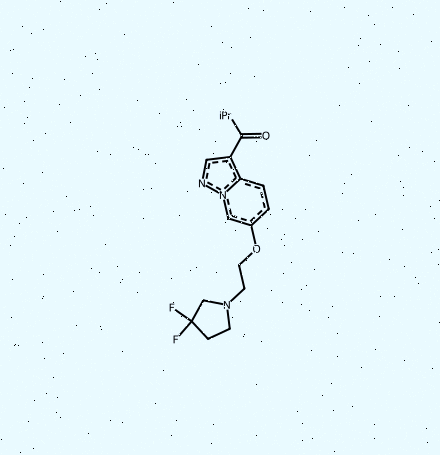 CC(C)C(=O)c1cnn2cc(OCCN3CCC(F)(F)C3)ccc12